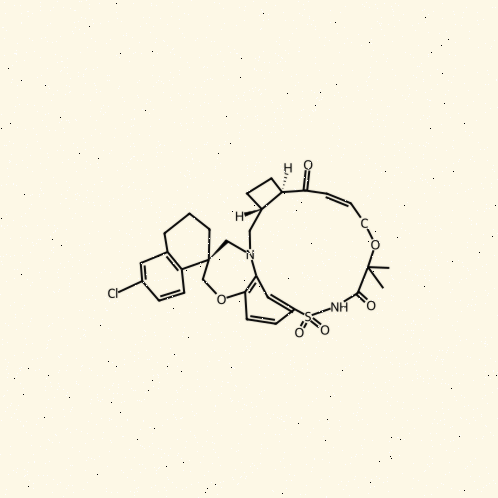 CC1(C)OCC=CC(=O)[C@@H]2CC[C@H]2CN2C[C@@]3(CCCc4cc(Cl)ccc43)COc3ccc(cc32)S(=O)(=O)NC1=O